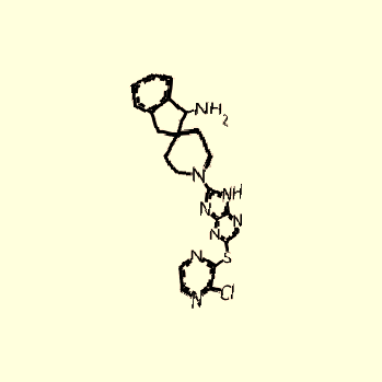 N[C@@H]1c2ccccc2CC12CCN(c1nc3nc(Sc4nccnc4Cl)cnc3[nH]1)CC2